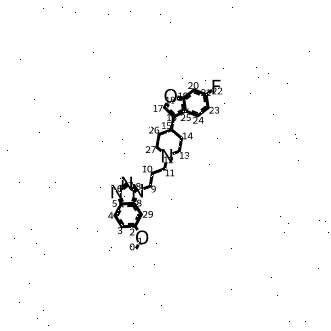 COc1ccc2nnn(CCCN3CCC(c4coc5cc(F)ccc45)CC3)c2c1